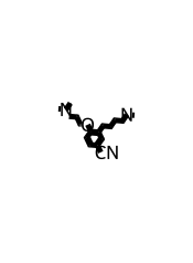 CN(C)CCCCc1cc(C#N)ccc1OCCCN(C)C